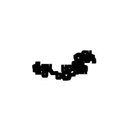 CC1(C)C2CCC1(CS(=O)(=O)N[C@@H](Cc1ccc(OCCCC(=O)Nc3nccs3)cc1)C(=O)O)C(=O)C2